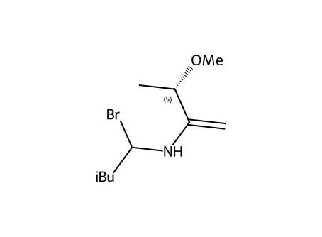 C=C(NC(Br)C(C)CC)[C@H](C)OC